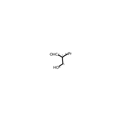 CC(C)C([C]=O)CO